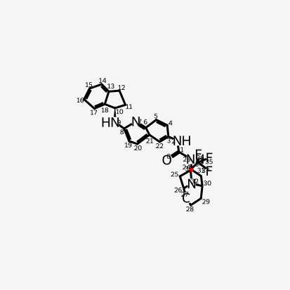 O=C(Nc1ccc2nc(N[C@@H]3CCc4ccccc43)ccc2c1)NC1CC2CCCC(C1)N2CC(F)(F)F